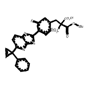 CCOC(=O)C(Cc1ccc(-c2nc3ccc(C4(c5ccccc5)C=C4)nc3s2)c(F)c1)(C(=O)OCC)C(=O)OC(C)(C)C